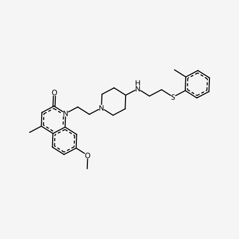 COc1ccc2c(C)cc(=O)n(CCN3CCC(NCCSc4ccccc4C)CC3)c2c1